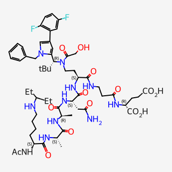 CCC(CC)NCCCC[C@H](NC(C)=O)C(=O)N[C@@H](C)C(=O)N[C@H](C)C(=O)N[C@@H](CC(N)=O)C(=O)N[C@@H](CCN(C(=O)CO)[C@@H](c1cc(-c2cc(F)ccc2F)cn1Cc1ccccc1)C(C)(C)C)C(=O)NCCC(=O)N[C@H](CCC(=O)O)C(=O)O